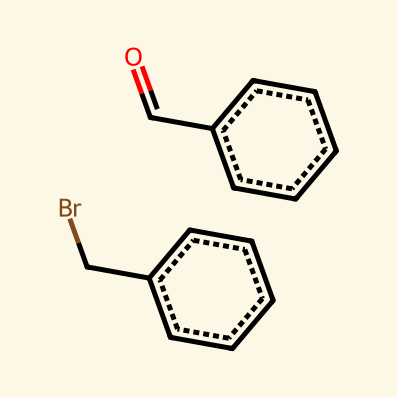 BrCc1ccccc1.O=Cc1ccccc1